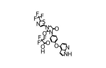 O=C(O)C(F)(F)F.O=C1CN(c2cnc(C(F)(F)F)s2)C(=O)N1c1ccc(Oc2ccnc3[nH]ccc23)cc1